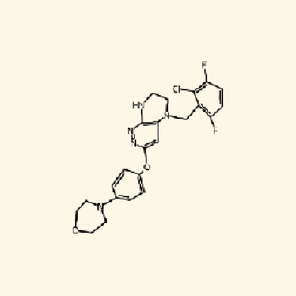 Fc1ccc(F)c(CN2CCNc3nnc(Oc4ccc(N5CCOCC5)cc4)cc32)c1Cl